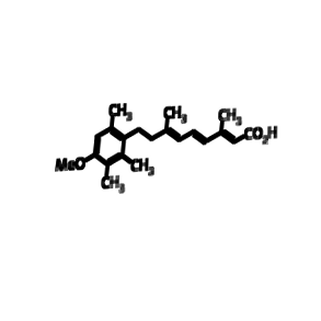 COc1cc(C)c(CC/C(C)=C/C=C/C(C)=C/C(=O)O)c(C)c1C